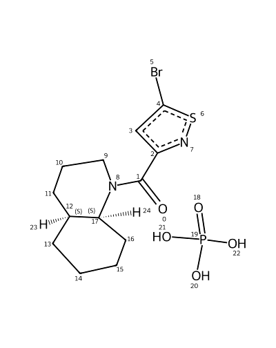 O=C(c1cc(Br)sn1)N1CCC[C@@H]2CCCC[C@@H]21.O=P(O)(O)O